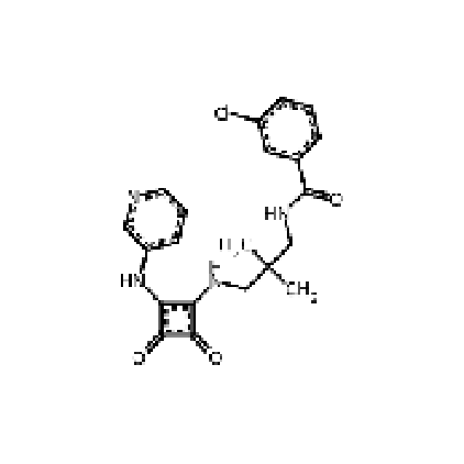 CC(C)(CNC(=O)c1cccc(Cl)c1)CNc1c(Nc2cccnc2)c(=O)c1=O